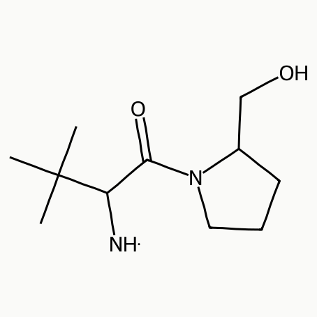 CC(C)(C)C([NH])C(=O)N1CCCC1CO